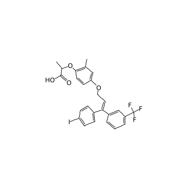 Cc1cc(OC/C=C(\c2ccc(I)cc2)c2cccc(C(F)(F)F)c2)ccc1OC(C)C(=O)O